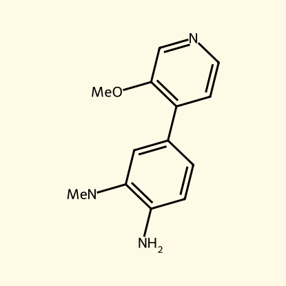 CNc1cc(-c2ccncc2OC)ccc1N